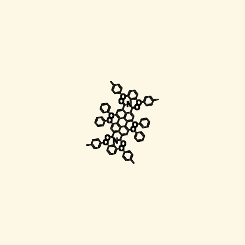 Cc1ccc(Oc2cccc(Oc3ccc(C)cc3)c2N2C(=O)c3cc(Oc4ccccc4)c4c5c(Oc6ccccc6)cc6c7c(cc(Oc8ccccc8)c(c8c(Oc9ccccc9)cc(c3c48)C2=O)c75)C(=O)N(c2c(Oc3ccc(C)cc3)cccc2Oc2ccc(C)cc2)C6=O)cc1